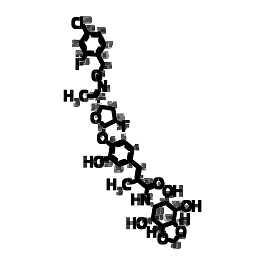 C/C(=C\c1ccc(O[C@@H]2O[C@H](/C(C)=N/OCc3ccc(Cl)cc3F)C[C@H]2F)c(O)c1)C(=O)N[C@@H]1[C@H](O)[C@@H](O)[C@H]2OCO[C@H]2[C@@H]1O